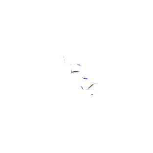 OCCn1cc(-c2ncc(C(F)(F)F)c(Cl)n2)cn1